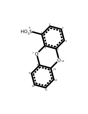 O=S(=O)(O)c1cccc2c1Oc1ccccc1O2